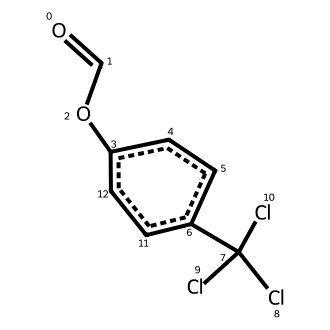 O=[C]Oc1ccc(C(Cl)(Cl)Cl)cc1